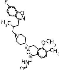 COc1c(C)ccc2c1C[C@@H](C1CCN(CC(C)Cc3noc4cc(F)ccc34)CC1)O[C@H]2CNC=O